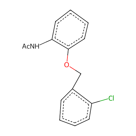 CC(=O)Nc1ccccc1OCc1ccccc1Cl